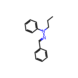 CCCN(N=Cc1ccccc1)c1ccccc1